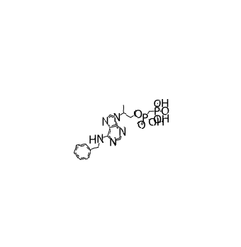 CC(COP(=O)(O)CP(=O)(O)O)n1cnc2c(NCc3ccccc3)ncnc21